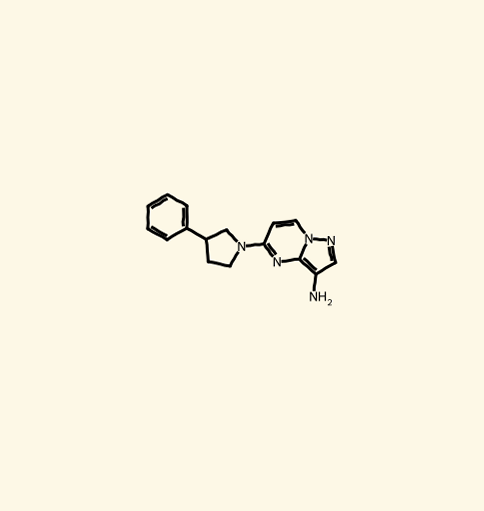 Nc1cnn2ccc(N3CCC(c4ccccc4)C3)nc12